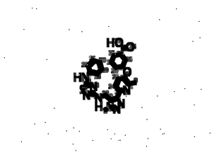 Cc1nc(-c2nnn(C)c2CNc2nsc(Nc3ccccc3)n2)ccc1O[C@H]1CCC[C@H](C(=O)O)C1